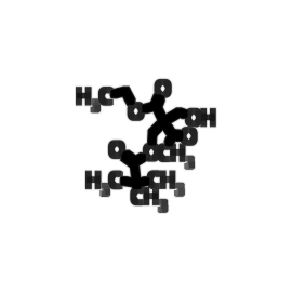 CCOC(=O)C(CO)(COC(=O)C(C)(C)C)C(C)=O